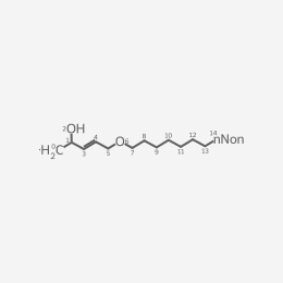 [CH2]C(O)C=CCOCCCCCCCCCCCCCCCC